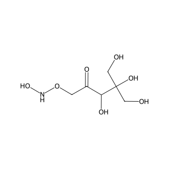 O=C(CONO)C(O)C(O)(CO)CO